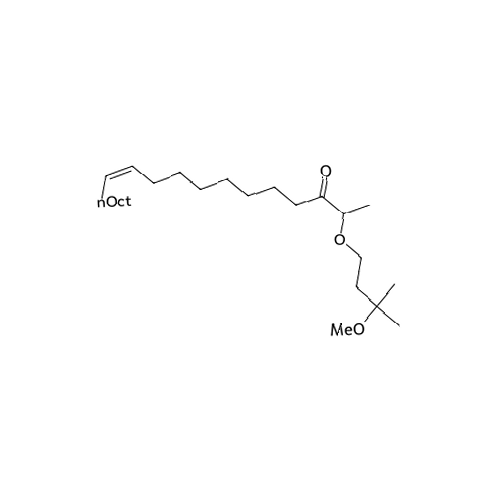 CCCCCCCC/C=C\CCCCCCCC(=O)C(C)OCCC(C)(C)OC